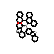 c1ccc2c(-c3c(N(c4ccc5c(c4)oc4ccccc45)c4cccc5sc6ccccc6c45)c4ccccc4c4ccccc34)cccc2c1